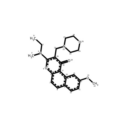 CCN(C)c1oc2ccc3ccc(OC)cc3c2c(=O)c1CN1CCOCC1